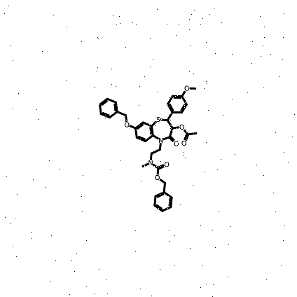 COc1ccc(C2Sc3cc(OCc4ccccc4)ccc3N(CCN(C)C(=O)OCc3ccccc3)C(=O)C2OC(C)=O)cc1